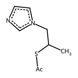 CC(=O)SC(C)Cn1ccnc1